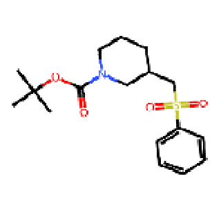 CC(C)(C)OC(=O)N1CCCC(CS(=O)(=O)c2ccccc2)C1